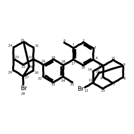 Cc1ccc(C23CC4CC(CC(Br)(C4)C2)C3)cc1-c1cc(C23CC4CC(CC(Br)(C4)C2)C3)ccc1C